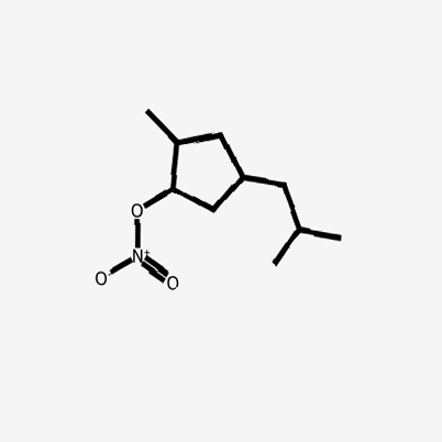 CC(C)CC1CC(C)C(O[N+](=O)[O-])C1